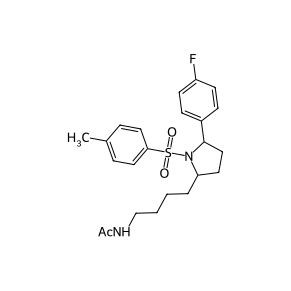 CC(=O)NCCCCC1CCC(c2ccc(F)cc2)N1S(=O)(=O)c1ccc(C)cc1